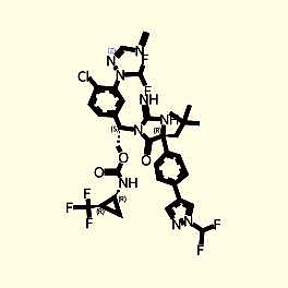 C=N/C=N\N(c1cc([C@@H](COC(=O)N[C@@H]2C[C@H]2C(F)(F)F)N2C(=N)N[C@](CC(C)(C)C)(c3ccc(-c4cnn(C(F)F)c4)cc3)C2=O)ccc1Cl)C(F)F